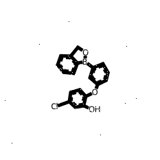 Oc1cc(Cl)ccc1Oc1cccc(B2OCc3ccccc32)c1